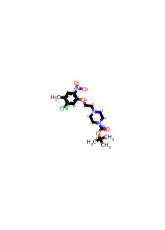 Cc1cc([N+](=O)[O-])c(OCCN2CCN(C(=O)OC(C)(C)C)CC2)cc1Cl